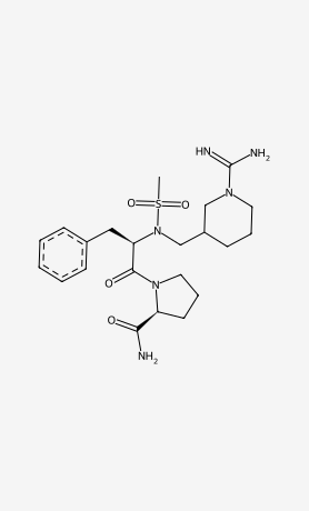 CS(=O)(=O)N(CC1CCCN(C(=N)N)C1)[C@H](Cc1ccccc1)C(=O)N1CCC[C@H]1C(N)=O